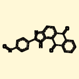 O=Nc1ccc(-c2nc3ccc4c(c3[nH]2)C(=O)c2ccccc2C4=O)cc1